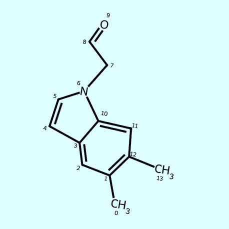 Cc1cc2ccn(CC=O)c2cc1C